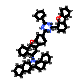 c1ccc(-c2nc(-c3ccc4c(c3)oc3c5ccccc5c(-n5c6cc7ccccc7cc6c6ccc7ccccc7c65)cc43)nc(-c3cccc4c3oc3ccccc34)n2)cc1